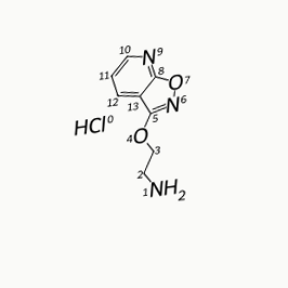 Cl.NCCOc1noc2ncccc12